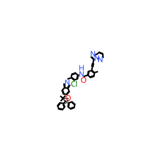 Cc1ccc(C(=O)Nc2ccc(Cn3cc4ccc(O[Si](c5ccccc5)(c5ccccc5)C(C)(C)C)cc4c3)c(Cl)c2)cc1C#Cc1cnc2cccnn12